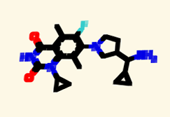 Cc1c(F)c(N2CCC(C(N)C3CC3)C2)c(C)c2c1c(=O)[nH]c(=O)n2C1CC1